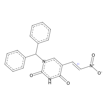 O=c1[nH]c(=O)n(C(c2ccccc2)c2ccccc2)cc1/C=C/[N+](=O)[O-]